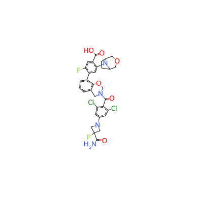 NC(=O)C1(F)CN(c2cc(Cl)c(C(=O)N3COc4c(cccc4-c4cc(N5C6CCC5COC6)c(C(=O)O)cc4F)C3)c(Cl)c2)C1